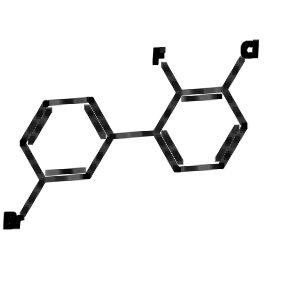 Fc1c(Cl)cccc1-c1cccc(Br)c1